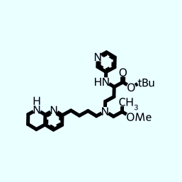 COC(C)CN(CCCCc1ccc2c(n1)NCCC2)CCC(Nc1cccnc1)C(=O)OC(C)(C)C